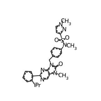 CC(C)c1ccccc1-c1ncc2c(n1)n(Cc1ccc(N(C)S(=O)(=O)c3ccn(C)n3)cc1)c(=O)n2C